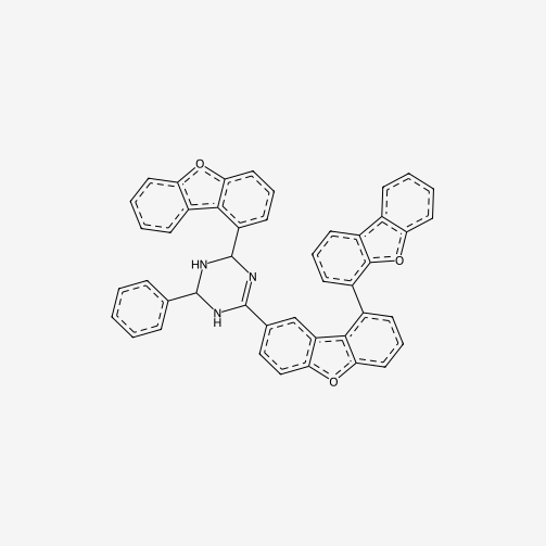 c1ccc(C2NC(c3ccc4oc5cccc(-c6cccc7c6oc6ccccc67)c5c4c3)=NC(c3cccc4oc5ccccc5c34)N2)cc1